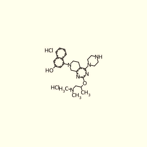 CC(CN(C)C)Oc1nc2c(c(N3CCNCC3)n1)CCN(c1cc(O)cc3ccccc13)C2.Cl.Cl